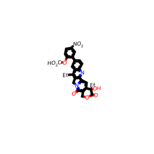 CCc1c2c(nc3ccc(-c4cc([N+](=O)[O-])ccc4OC(=O)O)cc13)-c1cc3c(c(=O)n1C2)COC(=O)[C@]3(O)CC